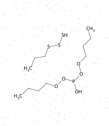 CCCCOOP(O)OOCCCC.CCCSSS